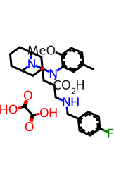 COc1ccc(C)cc1N(C(=O)O)C1CC2CCCC(C1)N2CCCCNCc1ccc(F)cc1.O=C(O)C(=O)O